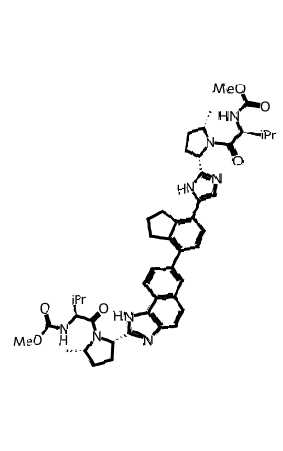 COC(=O)N[C@H](C(=O)N1[C@@H](C)CC[C@H]1c1ncc(-c2ccc(-c3ccc4c(ccc5nc([C@@H]6CC[C@H](C)N6C(=O)[C@@H](NC(=O)OC)C(C)C)[nH]c54)c3)c3c2CCC3)[nH]1)C(C)C